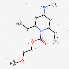 CCC1CC(NC)CC(CC)N1C(=O)OCCOC